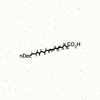 CCCCCCCCCCCCCCCCCC=CCCC=CCCCC(=O)O